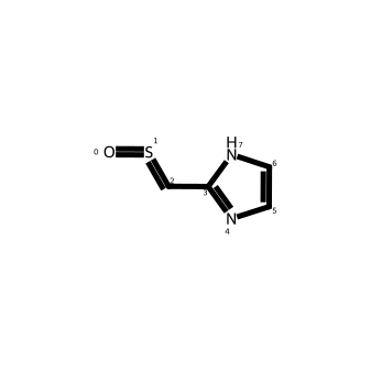 O=S=[C]c1ncc[nH]1